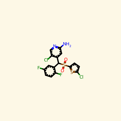 Nc1cc(C(c2cc(F)ccc2F)S(=O)(=O)c2ccc(Cl)s2)c(Cl)cn1